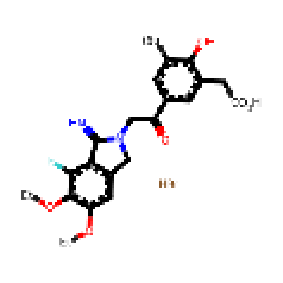 Br.CCOc1cc2c(c(F)c1OCC)C(=N)N(CC(=O)c1cc(CC(=O)O)c(O)c(C(C)(C)C)c1)C2